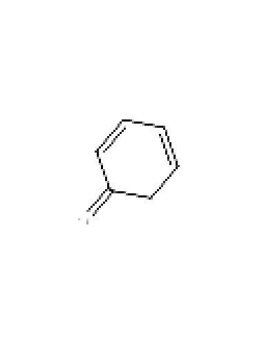 O=C1C=CC=[C]C1